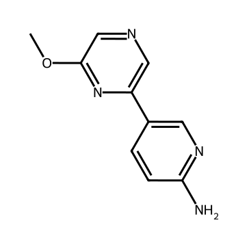 COc1cncc(-c2ccc(N)nc2)n1